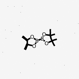 C=C1OB(B2OC(C)(C)C(C)(C)O2)OC1=C